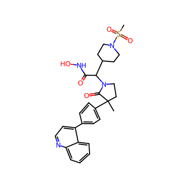 CC1(c2ccc(-c3ccnc4ccccc34)cc2)CCN(C(C(=O)NO)C2CCN(S(C)(=O)=O)CC2)C1=O